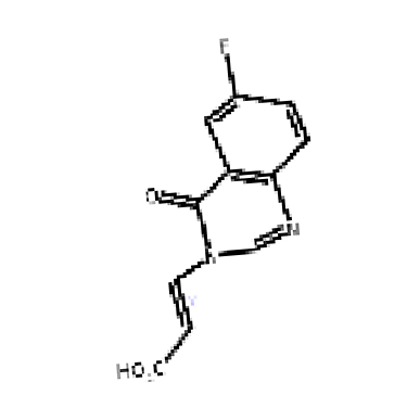 O=C(O)/C=C/n1cnc2ccc(F)cc2c1=O